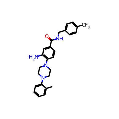 Cc1ccccc1N1CCN(c2ccc(C(=O)NCc3ccc(C(F)(F)F)cc3)cc2N)CC1